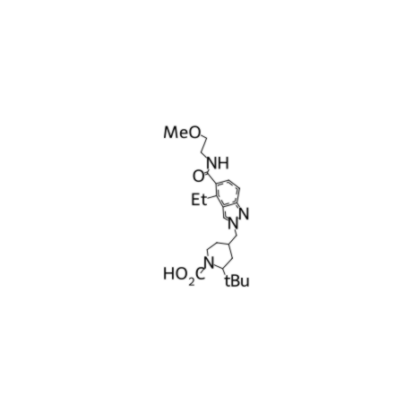 CCc1c(C(=O)NCCOC)ccc2nn(CC3CCN(C(=O)O)C(C(C)(C)C)C3)cc12